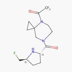 O=C([C@@H]1CC[C@@H](CF)N1)N1CCN(C(=O)C(F)(F)F)C2(CC2)C1